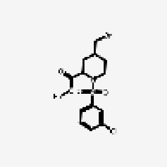 CC(C)(C)OC(=O)C1CC(CBr)CCN1S(=O)(=O)c1cccc(Cl)c1